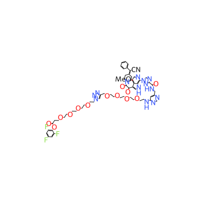 COc1cnc(-n2cnc(C(=O)NCc3cc(NCCOCCOCCOCCOCc4cn(CCOCCOCCOCCOCCC(=O)Oc5c(F)cc(F)cc5F)nn4)ncn3)n2)c2[nH]cc(C(=O)C(=O)N3CCC(=C(C#N)c4ccccc4)CC3)c12